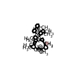 C=C1c2ccc3c(c2)N(c2cc4c(cc2C)C(C)(C)CCC4(C)c2cc(C)c(cc2C(C)(C)C)C2(C)CCCCC12C)c1cc(C)cc2c1B3c1cc3c(cc1N2c1cccc2c1sc1ccccc12)C(C)(C)CC3(C)C